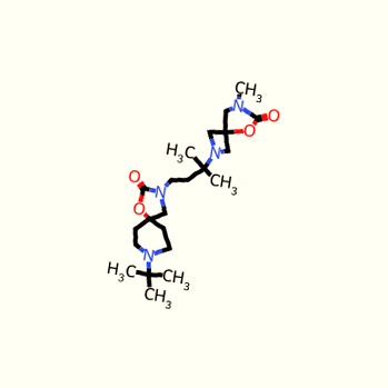 CN1CC2(CN(C(C)(C)CCN3CC4(CCN(C(C)(C)C)CC4)OC3=O)C2)OC1=O